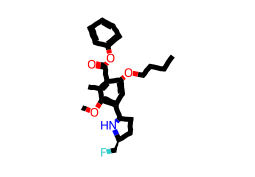 CCCCOc1cc(C2CC[C@@H](CF)N2)c(OC)c(C)c1C(=O)Oc1ccccc1